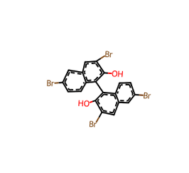 Oc1c(Br)cc2cc(Br)ccc2c1-c1c(O)c(Br)cc2cc(Br)ccc12